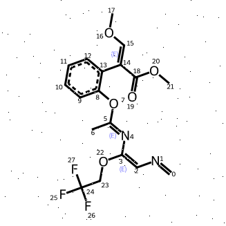 C=N/C=C(\N=C(/C)Oc1ccccc1/C(=C\OC)C(=O)OC)OCC(F)(F)F